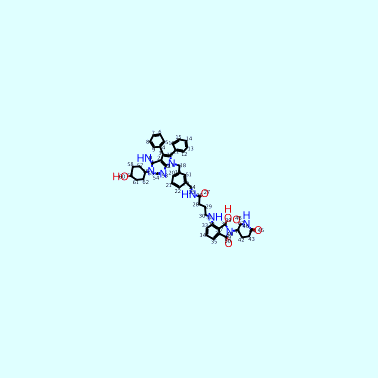 N=c1c2c(-c3ccccc3)c(-c3ccccc3)n(Cc3cccc(CNC(=O)CCCNc4cccc5c4C(O)N(C4CCC(=O)NC4=O)C5=O)c3)c2ncn1C1CCC(O)CC1